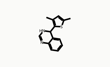 Cc1cc(C)c(C2NC=Nc3ccccc32)s1